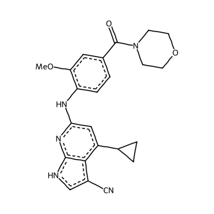 COc1cc(C(=O)N2CCOCC2)ccc1Nc1cc(C2CC2)c2c(C#N)c[nH]c2n1